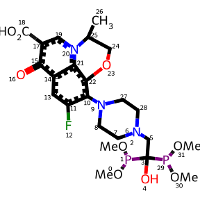 COP(OC)C(O)(CN1CCN(c2c(F)cc3c(=O)c(C(=O)O)cn4c3c2OCC4C)CC1)P(OC)OC